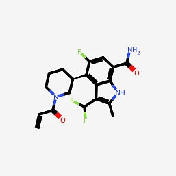 C=CC(=O)N1CCC[C@@H](c2c(F)cc(C(N)=O)c3[nH]c(C)c(C(F)F)c23)C1